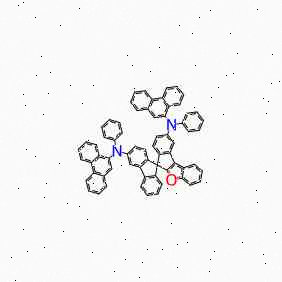 c1ccc(N(c2ccc3c(c2)-c2ccccc2C32c3ccc(N(c4ccccc4)c4cc5ccccc5c5ccccc45)cc3-c3c2oc2ccccc32)c2cc3ccccc3c3ccccc23)cc1